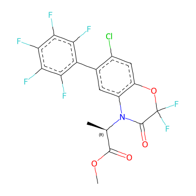 COC(=O)[C@@H](C)N1C(=O)C(F)(F)Oc2cc(Cl)c(-c3c(F)c(F)c(F)c(F)c3F)cc21